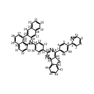 c1ccc(-c2ccc(-c3nc(-c4ccc(N5c6cc7ccccc7cc6-c6cccc7cccc5c67)cc4)nc4c3sc3ccccc34)cc2)nc1